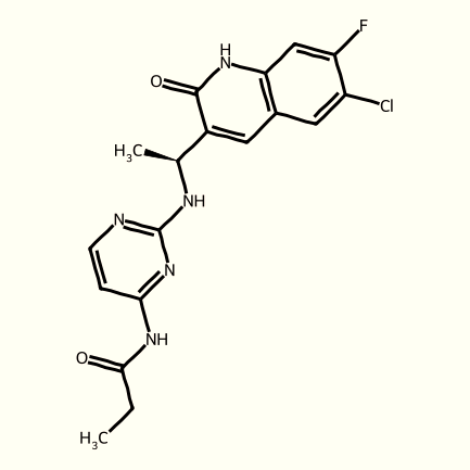 CCC(=O)Nc1ccnc(N[C@@H](C)c2cc3cc(Cl)c(F)cc3[nH]c2=O)n1